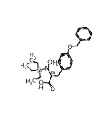 CC[Si](CC)(CC)N(O)[C@@H](Cc1ccc(OCc2ccccc2)cc1)C(=O)O